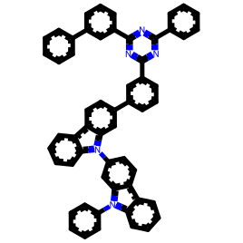 c1ccc(-c2cccc(-c3nc(-c4ccccc4)nc(-c4cccc(-c5ccc6c7ccccc7n(-c7ccc8c9ccccc9n(-c9ccccc9)c8c7)c6c5)c4)n3)c2)cc1